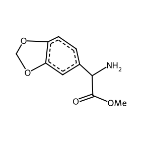 COC(=O)C(N)c1ccc2c(c1)OCO2